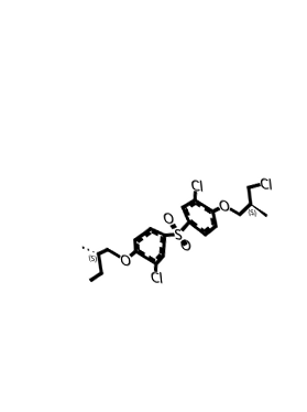 CC[C@H](C)COc1ccc(S(=O)(=O)c2ccc(OC[C@H](C)CCl)c(Cl)c2)cc1Cl